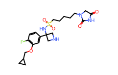 O=C1CN(CCCCCS(=O)(=O)NC2(c3ccc(F)c(OCC4CC4)c3)CNC2)C(=O)N1